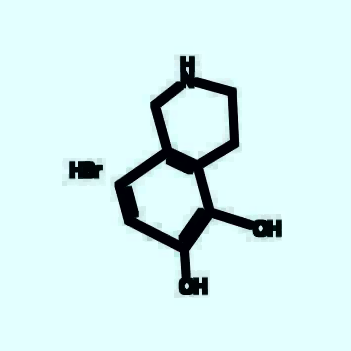 Br.Oc1ccc2c(c1O)CCNC2